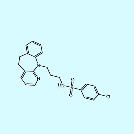 O=S(=O)(NCCCN1c2ccccc2CCc2cccnc21)c1ccc(Cl)cc1